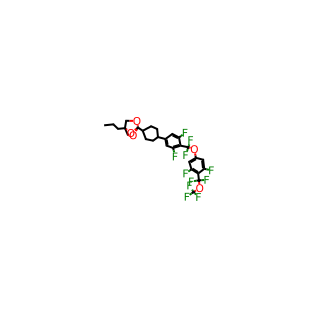 CCCC12COC(C3CCC(c4cc(F)c(C(F)(F)Oc5cc(F)c(C(F)(F)OC(F)(F)F)c(F)c5)c(F)c4)CC3)(OC1)O2